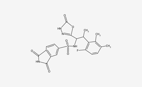 Cc1ccc(F)c(C(C)C(NS(=O)(=O)c2ccc3c(c2)C(=O)NC3=O)c2n[nH]c(=O)o2)c1C